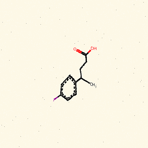 CC(CCC(=O)O)c1ccc(I)cc1